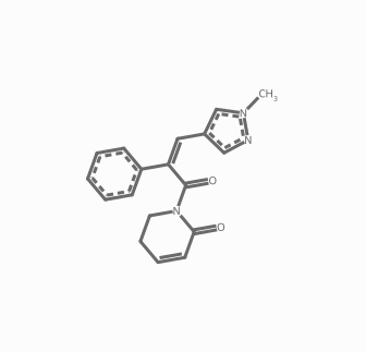 Cn1cc(/C=C(\C(=O)N2CCC=CC2=O)c2ccccc2)cn1